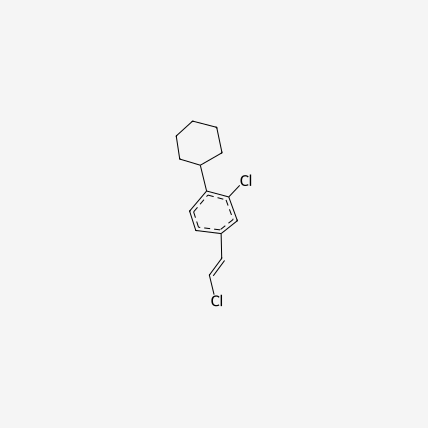 ClC=Cc1ccc(C2CCCCC2)c(Cl)c1